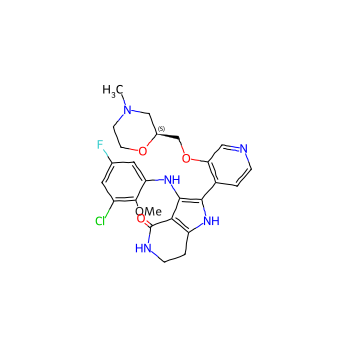 COc1c(Cl)cc(F)cc1Nc1c(-c2ccncc2OC[C@@H]2CN(C)CCO2)[nH]c2c1C(=O)NCC2